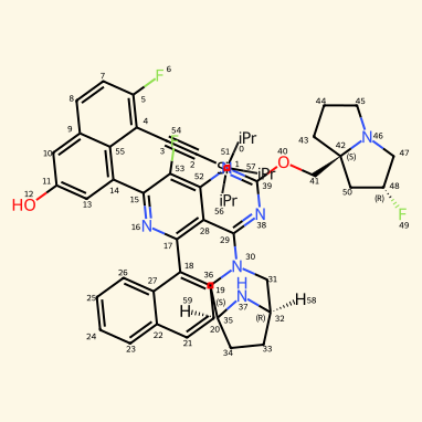 CC(C)[Si](C#Cc1c(F)ccc2cc(O)cc(-c3nc(-c4cccc5ccccc45)c4c(N5C[C@H]6CC[C@@H](C5)N6)nc(OC[C@@]56CCCN5C[C@H](F)C6)nc4c3F)c12)(C(C)C)C(C)C